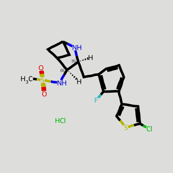 CS(=O)(=O)N[C@H]1C2CC(C2)N[C@H]1Cc1cccc(-c2csc(Cl)c2)c1F.Cl